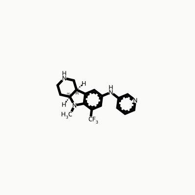 CN1c2c(cc(Nc3cccnc3)cc2C(F)(F)F)[C@@H]2CNCC[C@@H]21